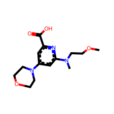 COCCN(C)c1cc(N2CCOCC2)cc(C(=O)O)n1